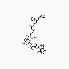 C=C1OC(=O)C(C(O)CC(=O)O[C@H](C)[C@@H](C)C(O)CC(=O)[C@@H](C)C(O)CCC(C)C[C@@H](C)CC/C=C(/C=C/C(C)=O)CC)=C1C